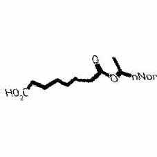 CCCCCCCCCC(C)OC(=O)CCCCCCC(=O)O